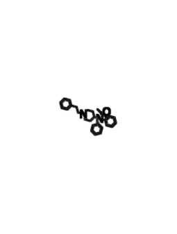 CC(=O)[N+](c1ccccc1)(c1ccccc1)C1CCN(CCc2ccccc2)CC1